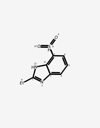 CCc1nc2cccc([SH](=O)=O)c2[nH]1